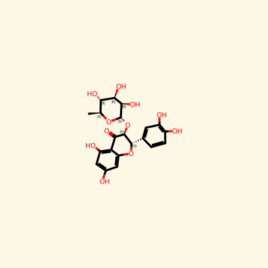 C[C@@H]1O[C@@H](O[C@@H]2C(=O)c3c(O)cc(O)cc3O[C@H]2c2ccc(O)c(O)c2)[C@H](O)[C@H](O)[C@H]1O